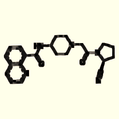 N#C[C@@H]1CCCN1C(=O)CN1CCC(NC(=O)c2cccc3cccnc23)CC1